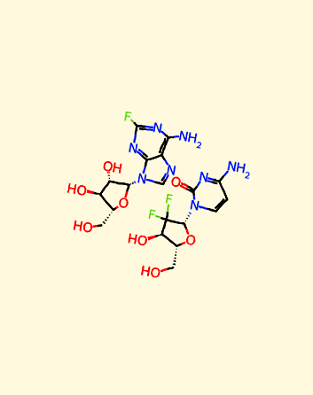 Nc1ccn([C@@H]2O[C@H](CO)[C@@H](O)C2(F)F)c(=O)n1.Nc1nc(F)nc2c1ncn2[C@@H]1O[C@H](CO)[C@@H](O)[C@@H]1O